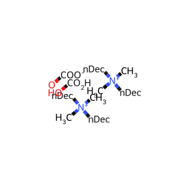 CCCCCCCCCC[N+](C)(C)CCCCCCCCCC.CCCCCCCCCC[N+](C)(C)CCCCCCCCCC.O=C(O)O.O=C([O-])[O-]